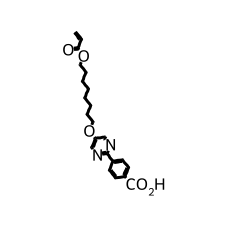 C=CC(=O)OCCCCCCCCOc1cnc(-c2ccc(C(=O)O)cc2)nc1